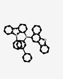 c1ccc(-c2cccc(N(c3cc4c5ccccc5oc4c4ccccc34)c3cccc4c5ccccc5n(-c5ccccc5)c34)c2)cc1